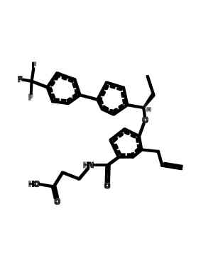 C=CCc1cc(C(=O)NCCC(=O)O)ccc1O[C@H](CC)c1ccc(-c2ccc(C(F)(F)F)cc2)cc1